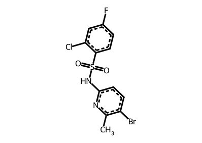 Cc1nc(NS(=O)(=O)c2ccc(F)cc2Cl)ccc1Br